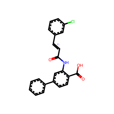 O=C(/C=C/c1cccc(Cl)c1)Nc1cc(-c2ccccc2)ccc1C(=O)O